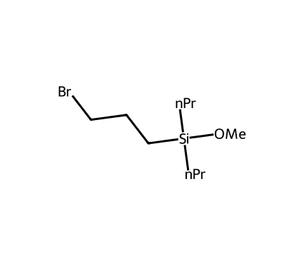 CCC[Si](CCC)(CCCBr)OC